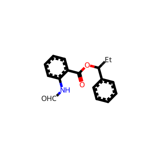 CCC(OC(=O)c1ccccc1NC=O)c1ccccc1